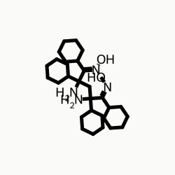 NC(CC(N)(C(=NO)C1CCCCC1)C1CCCCC1)(C(=NO)C1CCCCC1)C1CCCCC1